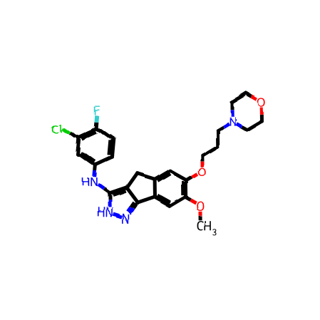 COc1cc2c(cc1OCCCN1CCOCC1)Cc1c-2n[nH]c1Nc1ccc(F)c(Cl)c1